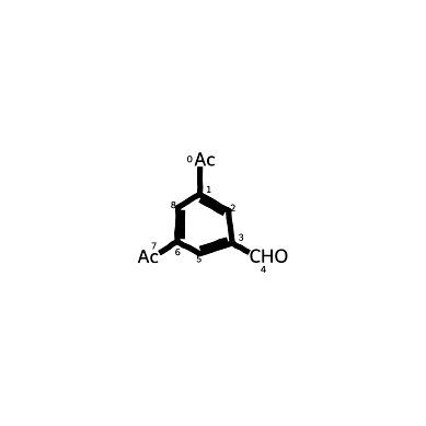 CC(=O)c1cc(C=O)cc(C(C)=O)c1